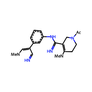 CN/C=C(\C=N)c1cccc(NC(=N)C2=C(NC)CCN(C(C)=O)C2)c1